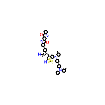 CSC(=S)SC(C#N)CC(CC(CC(C)(C)C#N)c1ccc(-c2ccc3c(c2)c(=O)c2cc4c(cc2n3C)c(=O)c2ccccc2n4C)cc1)c1ccc(N(c2ccc(-c3ccc(N(c4ccccc4)c4cccc(C)c4)cc3)cc2)c2cccc(C)c2)cc1